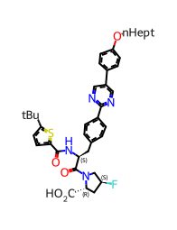 CCCCCCCOc1ccc(-c2cnc(-c3ccc(C[C@H](NC(=O)c4ccc(C(C)(C)C)s4)C(=O)N4C[C@@H](F)C[C@@H]4C(=O)O)cc3)nc2)cc1